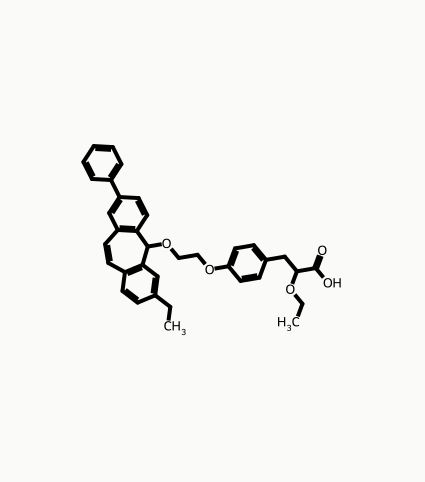 CCOC(Cc1ccc(OCCOC2c3ccc(-c4ccccc4)cc3C=Cc3ccc(CC)cc32)cc1)C(=O)O